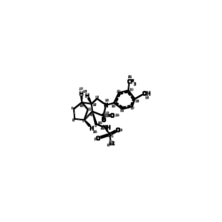 CCS(=O)(=O)NC[C@@]12[C@@H]3CC[C@@H](C3)[C@@H]1CN(c1ccc(O)c(C(F)(F)F)c1)S2(=O)=O